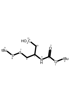 CC(C)(C)OC(=O)NC(CSSC(C)(C)C)CC(=O)O